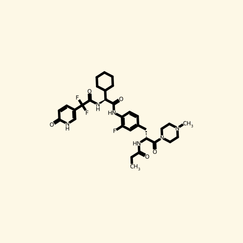 CCC(=O)N[C@H](Cc1ccc(NC(=O)[C@@H](NC(=O)C(F)(F)c2ccc(=O)[nH]c2)C2CCCCC2)c(F)c1)C(=O)N1CCN(C)CC1